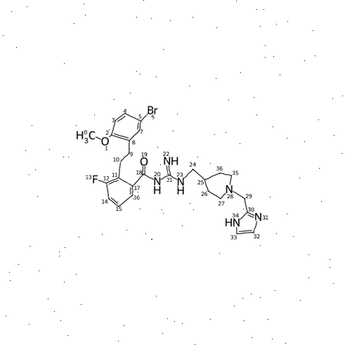 COc1ccc(Br)cc1CCc1c(F)cccc1C(=O)NC(=N)NCC1CCN(Cc2ncc[nH]2)CC1